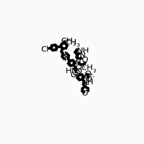 C[C@H]1COc2nc3[nH]ccc3cc2N(c2cc(N3CCN(CC4=C(c5ccc(Cl)cc5)CC(C)(C)CC4)CC3)ccc2C(=O)NS(=O)(=O)c2ccc(NCC3(F)CCOCC3)c([N+](=O)[O-])c2)C1